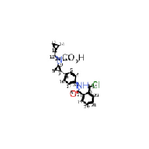 O=C(Nc1ccc([C@@H]2C[C@H]2N(CC2CC2)C(=O)O)cc1)c1ccccc1CCl